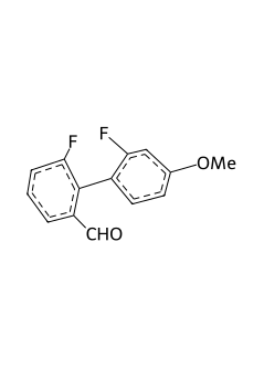 COc1ccc(-c2c(F)cccc2C=O)c(F)c1